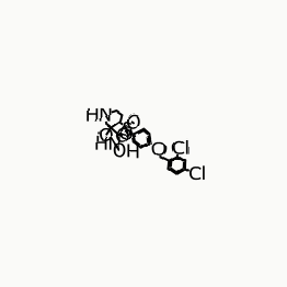 COC1(C(=O)NO)CNCCC1S(=O)(=O)c1ccc(OCc2ccc(Cl)cc2Cl)cc1